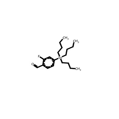 CCC[CH2][Sn]([CH2]CCC)([CH2]CCC)[c]1ccc(C=O)c(F)c1